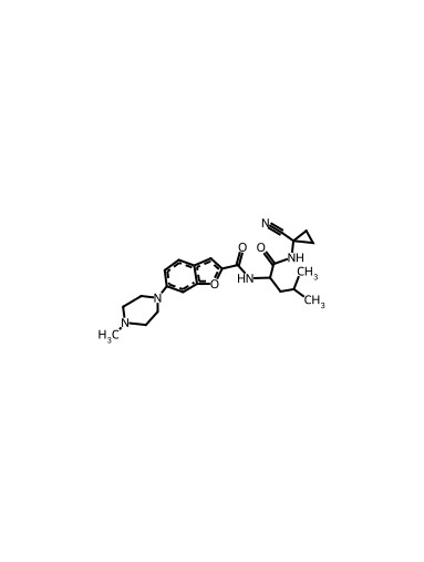 CC(C)CC(NC(=O)c1cc2ccc(N3CCN(C)CC3)cc2o1)C(=O)NC1(C#N)CC1